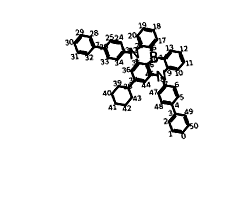 c1ccc(-c2ccc(N3c4ccccc4B4c5ccccc5N(c5ccc(-c6ccccc6)cc5)c5cc(C6CCCCC6)cc3c54)cc2)cc1